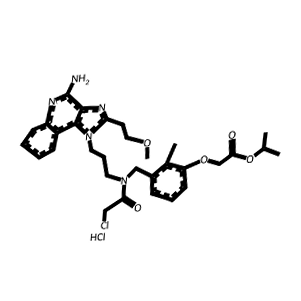 COCCc1nc2c(N)nc3ccccc3c2n1CCCN(Cc1cccc(OCC(=O)OC(C)C)c1C)C(=O)CCl.Cl